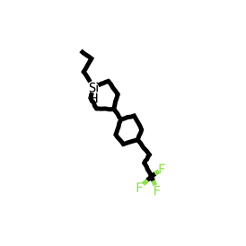 CCC[SiH]1CCC(C2CCC(CCC(F)(F)F)CC2)CC1